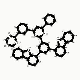 c1ccc(-c2cc(-c3cccc(-c4ncncn4)c3)nc(-c3cc(-c4cccc5c4oc4ccccc45)cc(-c4cccc5c4oc4ccccc45)c3)n2)cc1